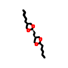 CC=CCC[C@H]1CO[C@H](CC[C@H]2CO[C@H](CCCCC)OC2)OC1